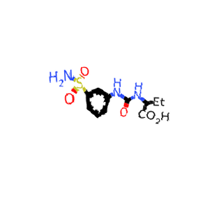 CCC(NC(=O)Nc1cccc(S(N)(=O)=O)c1)C(=O)O